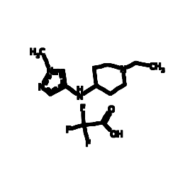 CCN1CCC(Nc2cnn(C)c2)CC1.O=C(O)C(F)(F)F